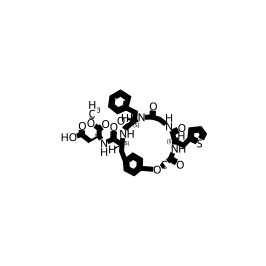 COC(=O)[C@H](CC(=O)O)NC(=O)[C@@H]1Cc2ccc(cc2)OCC(=O)N[C@@H](Cc2cccs2)C(=O)NCC(=O)N[C@@H](Cc2ccccc2)C(=O)N1